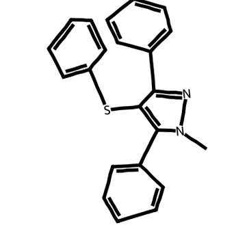 Cn1nc(-c2ccccc2)c(Sc2ccccc2)c1-c1ccccc1